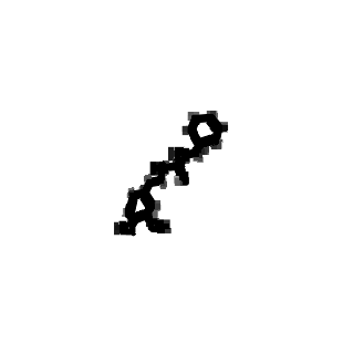 Oc1ccc(CCNC(=S)NCC2=CC=CCC2)cc1O